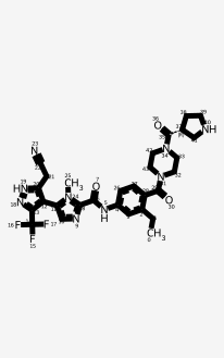 CCc1cc(NC(=O)c2ncc(-c3c(C(F)(F)F)n[nH]c3CC#N)n2C)ccc1C(=O)N1CCN(C(=O)[C@@H]2CCNC2)CC1